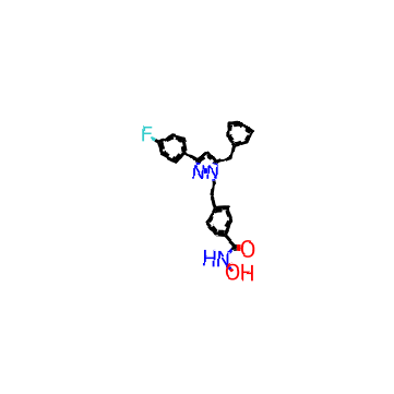 O=C(NO)c1ccc(CCn2nc(-c3ccc(F)cc3)cc2Cc2ccccc2)cc1